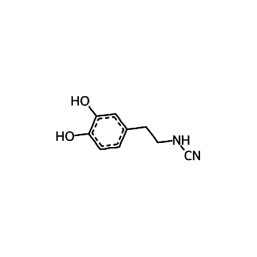 N#CNCCc1ccc(O)c(O)c1